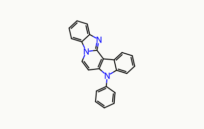 c1ccc(-n2c3ccccc3c3c2ccn2c4ccccc4nc32)cc1